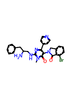 Cn1c(NCC(N)Cc2ccccc2)nc(-c2ccncc2)c(N2Cc3cccc(Br)c3C2=O)c1=O